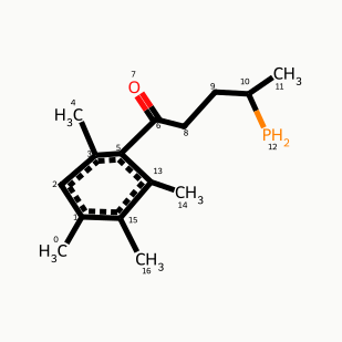 Cc1cc(C)c(C(=O)CCC(C)P)c(C)c1C